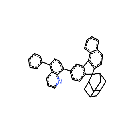 c1ccc(-c2ccc(-c3ccc4c(c3)-c3c(ccc5ccccc35)C43C4CC5CC(C4)CC3C5)c3ncccc23)cc1